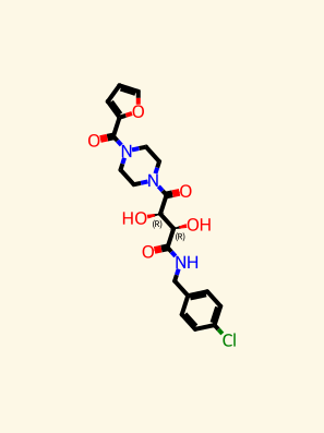 O=C(NCc1ccc(Cl)cc1)[C@H](O)[C@@H](O)C(=O)N1CCN(C(=O)c2ccco2)CC1